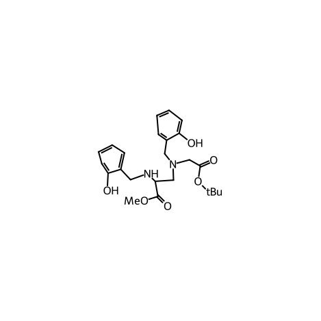 COC(=O)C(CN(CC(=O)OC(C)(C)C)Cc1ccccc1O)NCc1ccccc1O